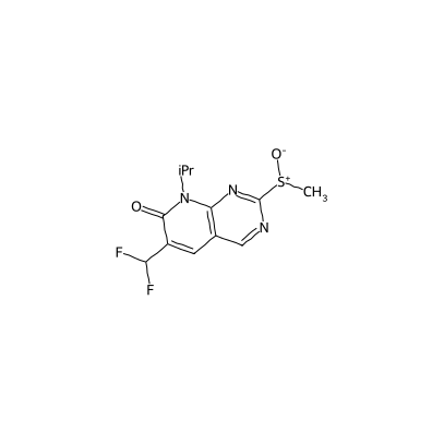 CC(C)n1c(=O)c(C(F)F)cc2cnc([S+](C)[O-])nc21